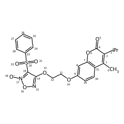 Cc1c(C(C)C)c(=O)oc2cc(OCCOc3no[n+]([O-])c3S(=O)(=O)c3ccccc3)ccc12